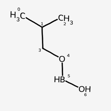 CC(C)COBO